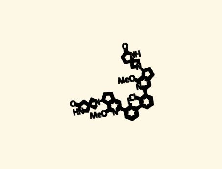 COc1nc(-c2cccc(-c3cccc(-c4cc5c(c(OC)n4)[C@@H](N4CC6(CCC(=O)N6)C4)CC5)c3Cl)c2F)cc2c1[C@H](N1CC3(CNC(=O)C3)C1)CC2